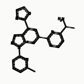 Cc1cccc(-n2ncc3c(-c4ncco4)cc(-c4cccc(C(C)N)n4)cc32)n1